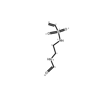 C=CS(=O)(=O)NCCN[C]=O